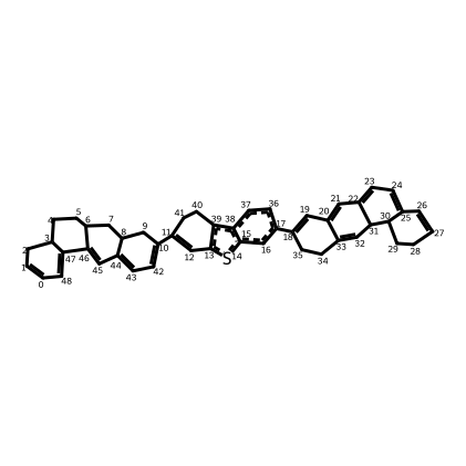 C1=CCC2CCC3CC4CC(C5=Cc6sc7cc(C8=CC9=CC%10=CC=C%11C=CCCC%11C%10C=C9CC8)ccc7c6CC5)=CC=C4C=C3C2=C1